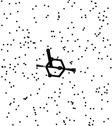 C[C@]12OC[C@@H](CO1)OC2=O